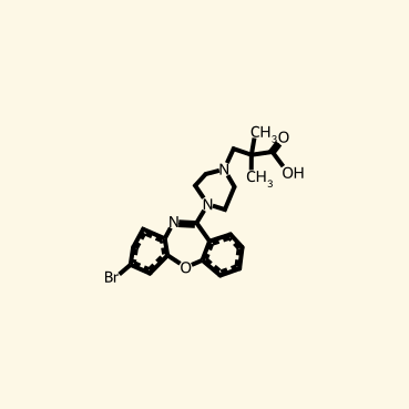 CC(C)(CN1CCN(C2=Nc3ccc(Br)cc3Oc3ccccc32)CC1)C(=O)O